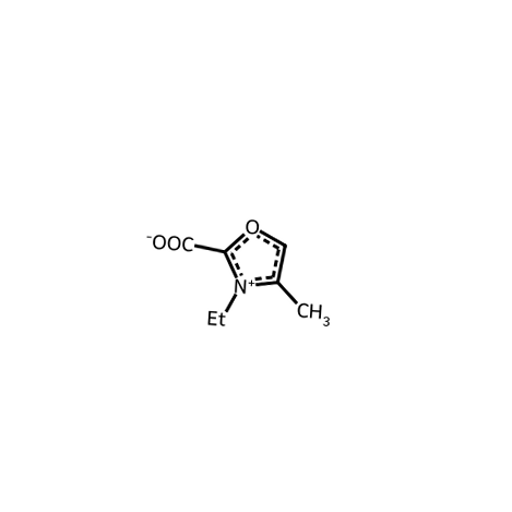 CC[n+]1c(C)coc1C(=O)[O-]